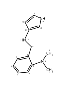 CN(C)c1ccccc1CNc1cc[nH]c1